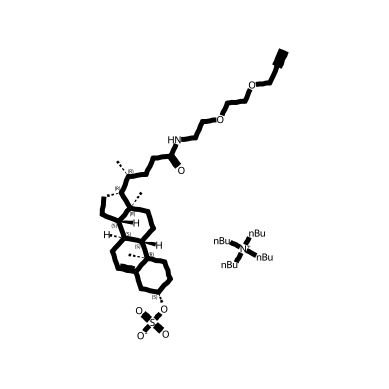 C#CCOCCOCCNC(=O)CC[C@@H](C)[C@H]1CC[C@H]2[C@@H]3CC=C4C[C@@H](OS(=O)(=O)[O-])CC[C@]4(C)[C@H]3CC[C@]12C.CCCC[N+](CCCC)(CCCC)CCCC